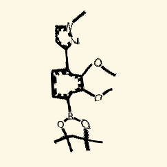 COc1c(B2OC(C)(C)C(C)(C)O2)ccc(-c2ccn(C)n2)c1OC